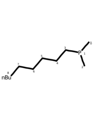 [CH2]P(C)CCCCCCCCC